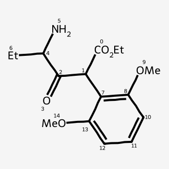 CCOC(=O)C(C(=O)C(N)CC)c1c(OC)cccc1OC